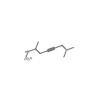 CC(CC#CCN(C)C)NC(=O)O